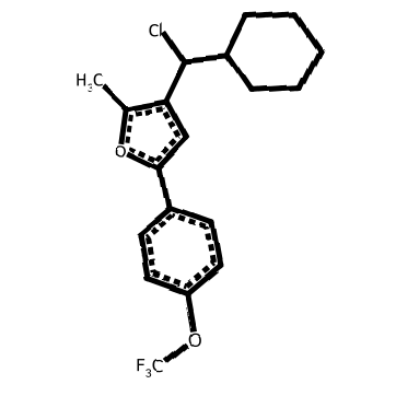 Cc1oc(-c2ccc(OC(F)(F)F)cc2)cc1C(Cl)C1CCCCC1